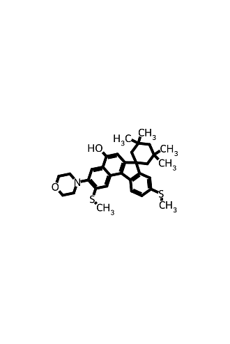 CSc1ccc2c(c1)C1(CC(C)(C)CC(C)(C)C1)c1cc(O)c3cc(N4CCOCC4)c(SC)cc3c1-2